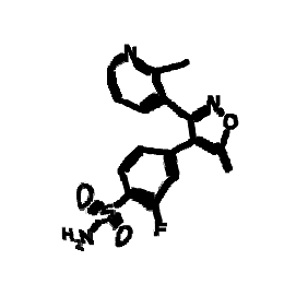 Cc1ncccc1-c1noc(C)c1-c1ccc(S(N)(=O)=O)c(F)c1